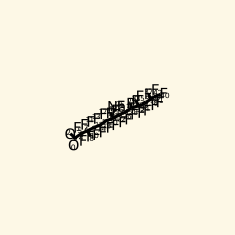 O=C([O-])C(F)(F)C(F)(F)C(F)(F)C(F)(F)C(F)(F)C(F)(F)C(F)(F)C(F)(F)C(F)(F)C(F)(F)C(F)(F)C(F)(F)C(F)(F)F.[Na+]